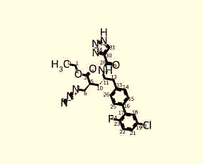 CCOC(=O)[C@H](CN=[N+]=[N-])C[C@@H](Cc1ccc(-c2cc(Cl)ccc2F)cc1)NC(=O)c1c[nH]nn1